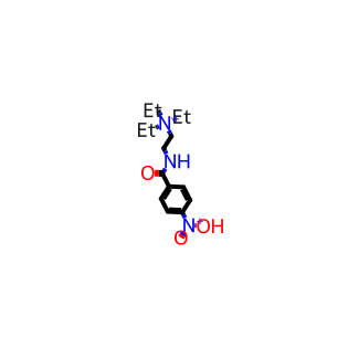 CC[N+](CC)(CC)CCNC(=O)c1ccc([N+](=O)O)cc1